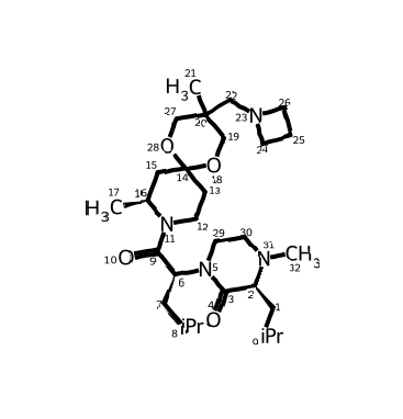 CC(C)C[C@H]1C(=O)N([C@@H](CC(C)C)C(=O)N2CCC3(C[C@@H]2C)OCC(C)(CN2CCC2)CO3)CCN1C